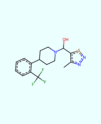 Cc1nnsc1C(O)N1CCC(c2ccccc2C(F)(F)F)CC1